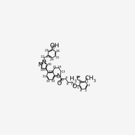 Cc1cccc(OCCCC(=O)N2CCCc3c(-c4cnn(Cc5cccc(O)c5)c4)cccc32)c1C